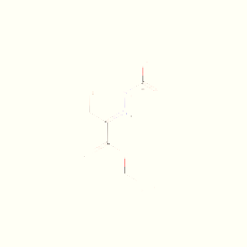 CCOC(=O)C(CBr)=NNC(=O)O